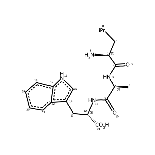 CC(C)C[C@H](N)C(=O)N[C@@H](C)C(=O)N[C@@H](Cc1c[nH]c2ccccc12)C(=O)O